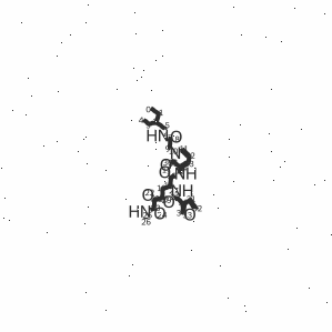 CCC(CC)CNC(=O)Cn1cccc(NC(=O)C(CCC(=O)C(=O)NC)NC(=O)c2ccoc2)c1=O